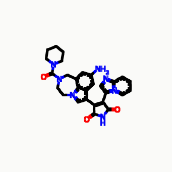 Nc1cc2c3c(c1)c(C1=C(c4cnc5ccccn45)C(=O)NC1=O)cn3CCN(C(=O)N1CCCCC1)C2